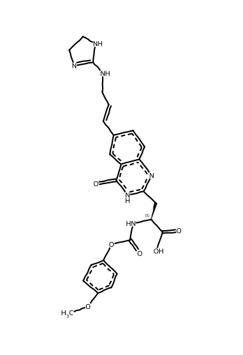 COc1ccc(OC(=O)N[C@@H](Cc2nc3ccc(C=CCNC4=NCCN4)cc3c(=O)[nH]2)C(=O)O)cc1